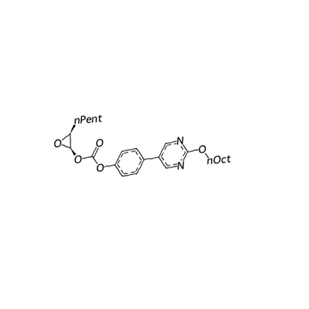 CCCCCCCCOc1ncc(-c2ccc(OC(=O)O[C@H]3O[C@H]3CCCCC)cc2)cn1